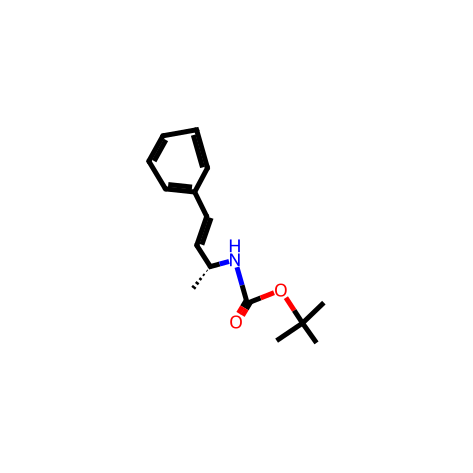 C[C@H](/C=C/c1ccccc1)NC(=O)OC(C)(C)C